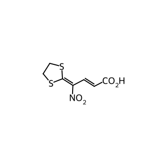 O=C(O)C=CC(=C1SCCS1)[N+](=O)[O-]